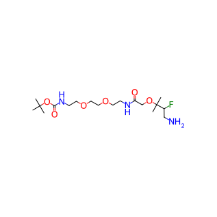 CC(C)(C)OC(=O)NCCOCCOCCNC(=O)COC(C)(C)C(F)CN